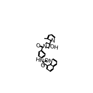 Cc1cccnc1C1(O)CN(C(=O)c2ccc(NS(=O)(=O)c3cccc4cccnc34)cc2)C1